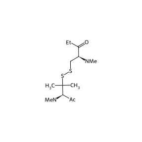 CCC(=O)[C@H](CSSC(C)(C)[C@H](NC)C(C)=O)NC